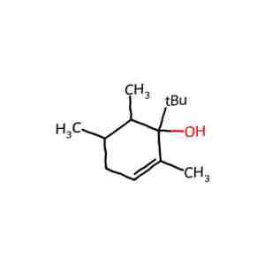 CC1=CCC(C)C(C)C1(O)C(C)(C)C